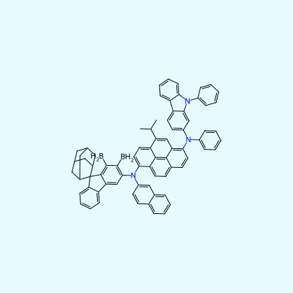 Bc1c(N(c2ccc3ccccc3c2)c2ccc3c(C(C)C)cc4c(N(c5ccccc5)c5ccc6c7ccccc7n(-c7ccccc7)c6c5)ccc5ccc2c3c54)cc2c(c1B)C1(c3ccccc3-2)C2CC3CC(C2)CC1C3